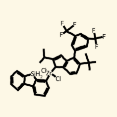 CC(C)C1=Cc2c(ccc(C(C)(C)C)c2-c2cc(C(F)(F)F)cc(C(F)(F)F)c2)[CH]1[Zr]([Cl])([Cl])[c]1cccc2c1[SiH2]c1ccccc1-2